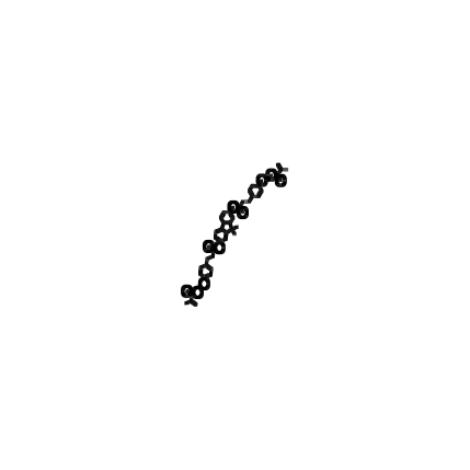 C=C(C)C(=O)OCOc1ccc(CCC(=O)Oc2ccc3c(c2)C(C)(C)c2cc(OC(=O)CCc4ccc(OCOC(=O)C(=C)C)cc4)ccc2-3)cc1